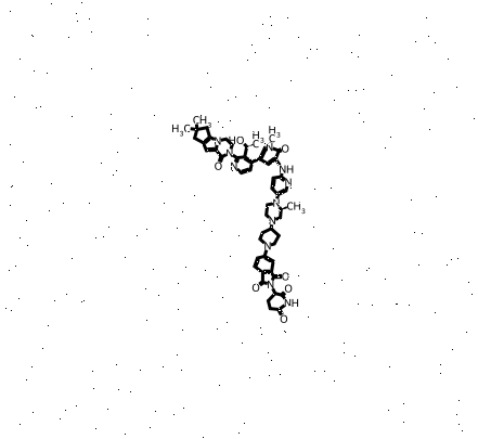 C[C@@H](O)c1c(-c2cc(Nc3ccc(N4CCN(C5CCN(c6ccc7c(c6)C(=O)N(C6CCC(=O)NC6=O)C7=O)CC5)C[C@@H]4C)cn3)c(=O)n(C)c2)ccnc1N1CCn2c(cc3c2CC(C)(C)C3)C1=O